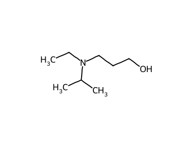 CCN(CCCO)C(C)C